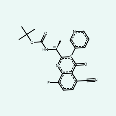 C[C@H](NC(=O)OC(C)(C)C)c1nc2c(F)ccc(C#N)c2c(=O)n1-c1cccnc1